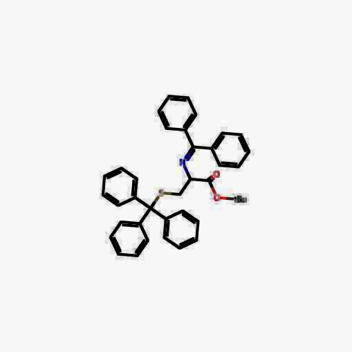 CC(C)(C)OC(=O)C(CSC(c1ccccc1)(c1ccccc1)c1ccccc1)N=C(c1ccccc1)c1ccccc1